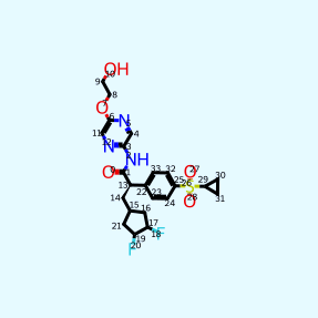 O=C(Nc1cnc(OCCO)cn1)[C@H](CC1CC(F)C(F)C1)c1ccc(S(=O)(=O)C2CC2)cc1